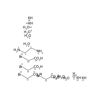 NCCN.O.O.O.O.O.O.O.O.O=C(O)CBr.O=C(O)CBr.O=C(O)CBr.O=C(O)CBr.[KH].[KH].[KH].[KH]